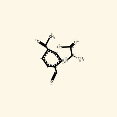 CC(=O)c1ccc(C=O)cc1.C[C@H](N)C(=O)O